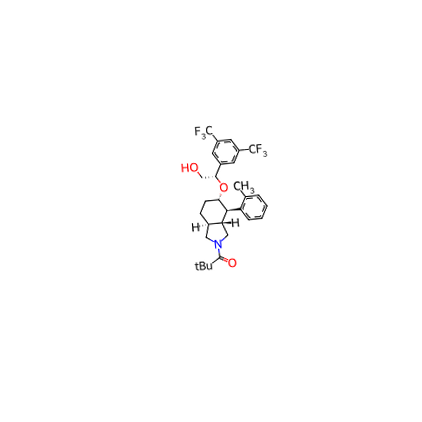 Cc1ccccc1[C@H]1[C@@H]2CN(C(=O)C(C)(C)C)C[C@H]2CC[C@@H]1O[C@H](CO)c1cc(C(F)(F)F)cc(C(F)(F)F)c1